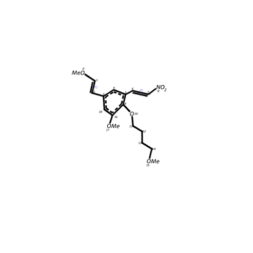 CO/C=C/c1cc(/C=[C]/[N+](=O)[O-])c(OCCCCOC)c(OC)c1